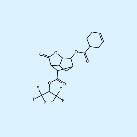 O=C(OC1C2CC3C1OC(=O)C3C2C(=O)OC(C(F)(F)F)C(F)(F)F)C1CC=CCC1